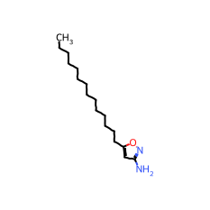 CCCCCCCCCCCCCCc1cc(N)no1